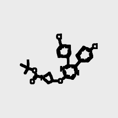 CC(C)(C)OC(=O)N1CC(Oc2cnc(-c3ccc(Cl)cc3)c(-c3ccc(Cl)cc3)n2)C1